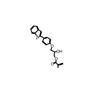 C=C(C)C(=O)OCC(O)COc1ccc(-c2cc3ccccc3n2C)cc1